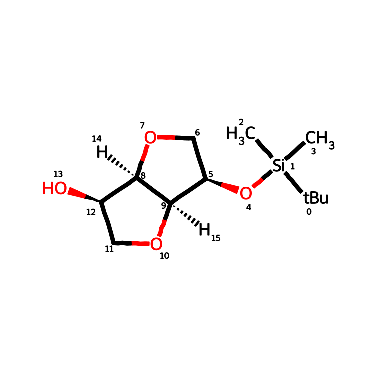 CC(C)(C)[Si](C)(C)O[C@@H]1CO[C@H]2[C@@H]1OC[C@H]2O